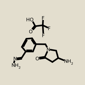 NN=Cc1cccc(CN2CC(N)CC2=O)c1.O=C(O)C(F)(F)F